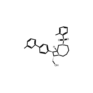 Cc1cccc(-c2ccc([C@@H]3[C@@H](CO)N4CCCCN(S(=O)(=O)c5ccccc5C)C[C@@H]34)cc2)c1